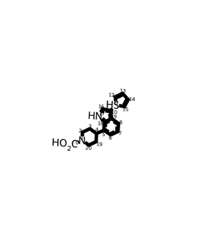 O=C(O)N1CCC(c2cccc3c([SH]4C=CC=C4)c[nH]c23)CC1